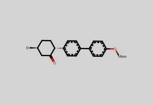 CCCCCCCCCOc1ccc(-c2ccc([C@H]3CC[C@H](CC)CC3=O)cc2)cc1